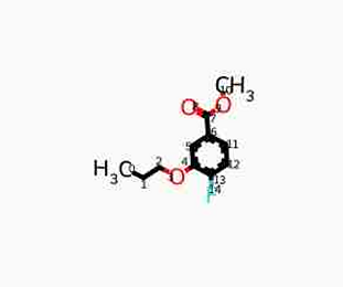 CCCOc1cc(C(=O)OC)ccc1F